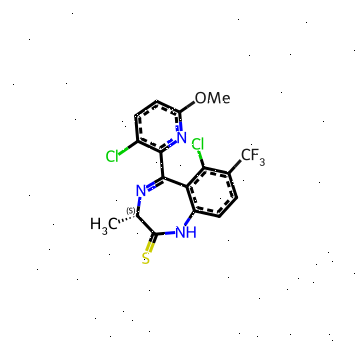 COc1ccc(Cl)c(C2=N[C@@H](C)C(=S)Nc3ccc(C(F)(F)F)c(Cl)c32)n1